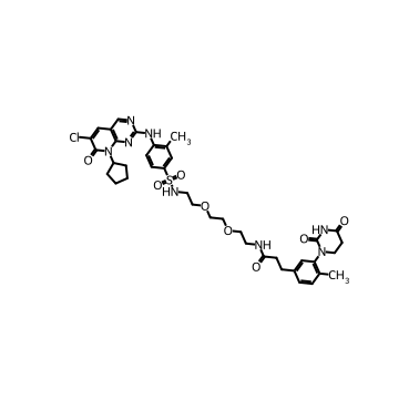 Cc1cc(S(=O)(=O)NCCOCCOCCNC(=O)CCc2ccc(C)c(N3CCC(=O)NC3=O)c2)ccc1Nc1ncc2cc(Cl)c(=O)n(C3CCCC3)c2n1